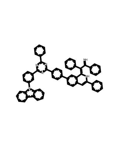 N=C(/C(=C1\NC(c2ccccc2)=Cc2ccc(-c3ccc(-c4nc(-c5ccccc5)nc(-c5cccc(-n6c7ccccc7c7ccccc76)c5)n4)cc3)cc21)c1ccccc1)c1ccccc1